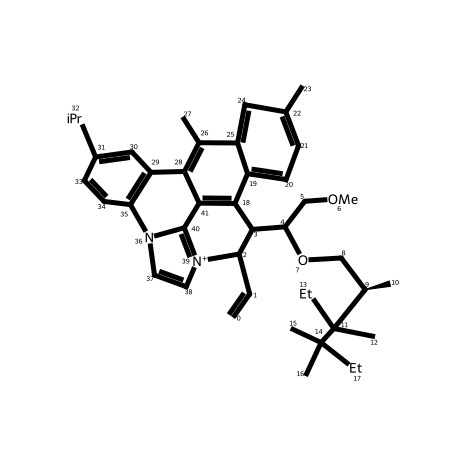 C=CC1C(C(COC)OC[C@@H](C)C(C)(CC)C(C)(C)CC)c2c3ccc(C)cc3c(C)c3c4cc(C(C)C)ccc4n4cc[n+]1c4c23